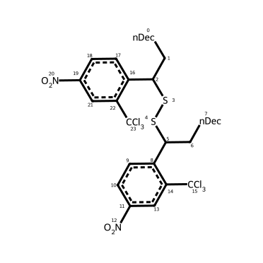 CCCCCCCCCCCC(SSC(CCCCCCCCCCC)c1ccc([N+](=O)[O-])cc1C(Cl)(Cl)Cl)c1ccc([N+](=O)[O-])cc1C(Cl)(Cl)Cl